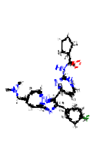 CN(C)Cc1ccn2c(-c3ccnc(NC(=O)C4CCCC4)n3)c(-c3ccc(F)cc3)nc2c1